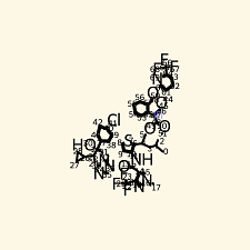 CC(C)CC(C)c1sccc1NC(=O)c1cn(C)nc1C(F)(F)F.CC(C1CC1)C(O)(Cn1cncn1)c1ccc(Cl)cc1.CO/C=C(/C(=O)OC)c1ccccc1COc1cccc(C(F)(F)F)n1